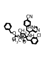 CC(CC(Cc1cccc(Cl)c1)(NC(Cc1ccc(C#N)cc1)c1cnc[nH]1)S(C)(=O)=O)NC(=O)OCc1ccccc1